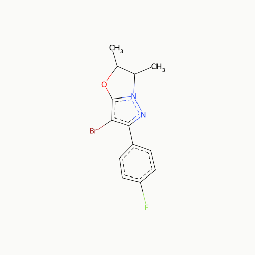 CC1Oc2c(Br)c(-c3ccc(F)cc3)nn2C1C